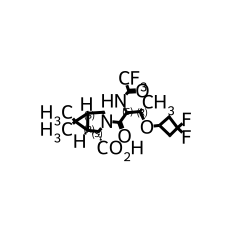 C[C@@H](OC1CC(F)(F)C1)[C@H](NC(=O)C(F)(F)F)C(=O)N1C[C@H]2[C@@H]([C@H]1C(=O)O)C2(C)C